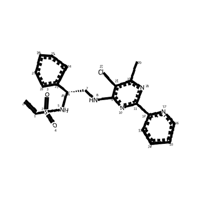 C=CS(=O)(=O)N[C@@H](CNc1nc(-c2ccccn2)nc(C)c1Cl)c1ccccc1